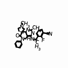 Cc1nc(N[C@H](C)c2cccc(C#N)c2F)c2c(n1)[C@@]1(CCN(C)C1)C(=O)N(c1ccccc1)C2